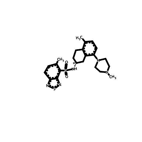 Cc1ccc(N2CCN(C)CC2)c2c1CC[C@@H](NS(=O)(=O)c1c(C)ccc3nsnc13)C2